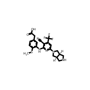 CSc1ccc(CC(=O)O)cc1Nc1nc(N2C[C@H]3CNC[C@H]3C2)cc(C(F)(F)F)c1C#N